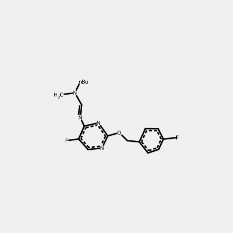 CCCCN(C)/C=N/c1nc(OCc2ccc(F)cc2)ncc1F